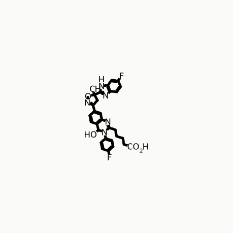 CC1(c2nc3ccc(F)cc3[nH]2)CC(c2ccc3c(c2)N=C(CCCCC(=O)O)N(c2ccc(F)cc2)C3O)=NO1